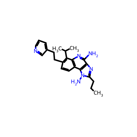 CCCc1nc2c(N)nc3c(C(C)C)c(CCc4cccnc4)ccc3c2n1N